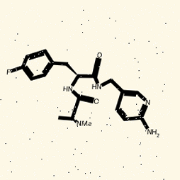 CN[C@@H](C)C(=O)N[C@@H](Cc1ccc(F)cc1)C(=O)NCc1ccc(N)nc1